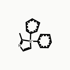 CC1=NC=C[N+]1(c1ccccc1)c1ccccc1